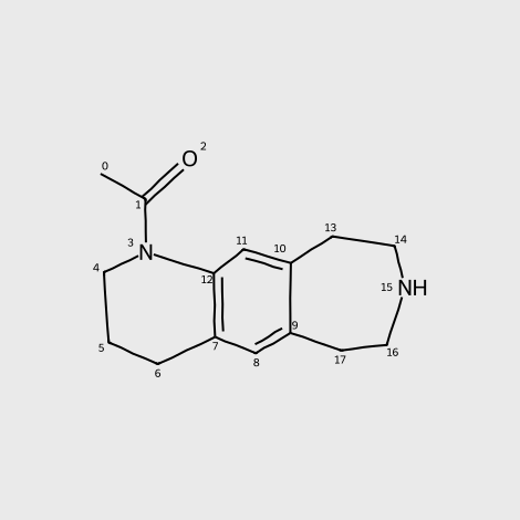 CC(=O)N1CCCc2cc3c(cc21)CCNCC3